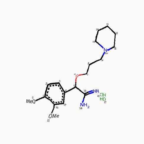 COc1ccc(C(OCCCN2CCCCC2)C(=N)N)cc1OC.Cl.Cl